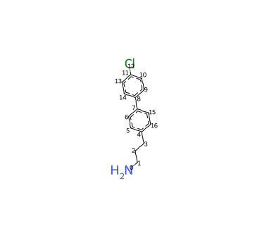 NCCCc1ccc(-c2ccc(Cl)cc2)cc1